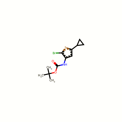 CC(C)(C)OC(=O)Nc1cc(C2CC2)sc1Br